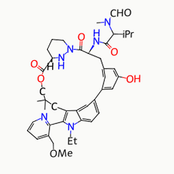 CCn1c(-c2ncccc2COC)c2c3cc(ccc31)-c1cc(O)cc(c1)C[C@H](NC(=O)C(C(C)C)N(C)C=O)C(=O)N1CCC[C@H](N1)C(=O)OCC(C)(C)C2